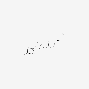 CC(C)(C)OC(=O)N1CCC(CN2CCCN(c3ncc(I)cn3)C2)CC1